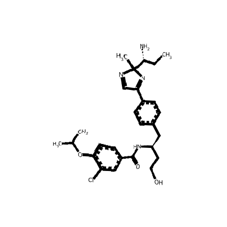 CC[C@@H](N)C1(C)N=CC(c2ccc(C[C@@H](CCO)NC(=O)c3ccc(OC(C)C)c(Cl)c3)cc2)=N1